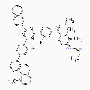 C=C/C=C(/c1ccc(-c2nc(-c3ccc4ccccc4c3)nc(-c3ccc(-c4ccnc5c4C=CC4=CC=CN(C)C45)cc3F)n2)c(F)c1)c1cc/c(=C/C=C\C)c(=C)c1C